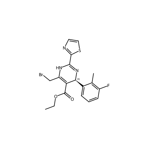 CCOC(=O)C1=C(CBr)NC(c2nccs2)=N[C@H]1c1cccc(F)c1C